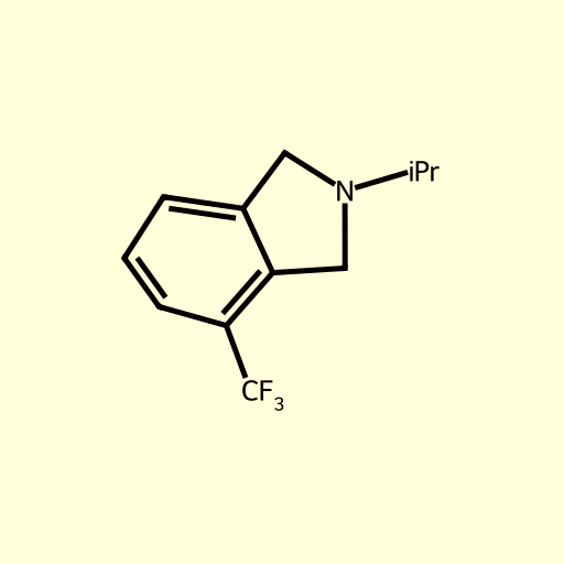 CC(C)N1Cc2cccc(C(F)(F)F)c2C1